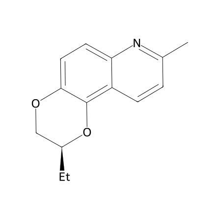 CC[C@H]1COc2ccc3nc(C)ccc3c2O1